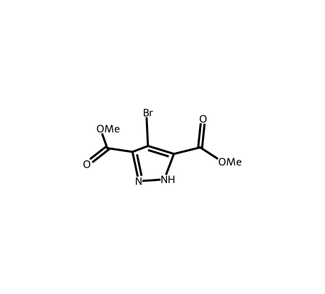 COC(=O)c1n[nH]c(C(=O)OC)c1Br